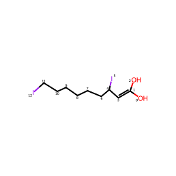 OC(O)=CC(I)CCCCCCI